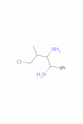 CC(C)C(N)C(N)C(C)CCl